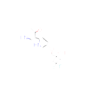 CC(=O)/C(C=N)=C1\C=CC(OCC2(O)CC(F)(F)C2)=CN1